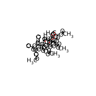 COC(=O)C1O[C@@H](Oc2ccc(OC)cc2)C(OC(=O)c2ccccc2)[C@H](OCc2ccccc2)[C@@H]1O[C@H]1OC(COC(C)=O)[C@@H](O[C@@H]2OC(C(=O)OC)[C@H](O[C@@H]3OC(COC(C)=O)[C@@H](C)[C@H](C)C3C)[C@@H](OCc3ccccc3)C2OC(=O)c2ccccc2)[C@H](C)C1C